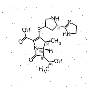 C[C@@H]1C(SC2CN[C@H](C3=NCCN3)C2)=C(C(=O)O)N2C(=O)[C@H]([C@@H](C)O)[C@@H]12